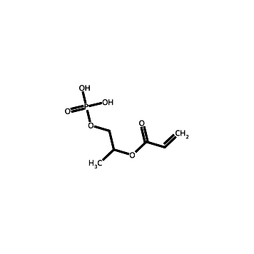 C=CC(=O)OC(C)COP(=O)(O)O